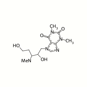 CNC(CCO)C(O)Cn1cnc2c1c(=O)n(C)c(=O)n2C